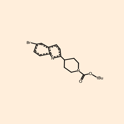 CC(C)(C)OC(=O)N1CCC(c2ccc3cc(Br)ccc3n2)CC1